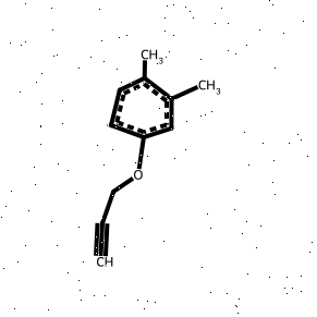 C#CCOc1[c]cc(C)c(C)c1